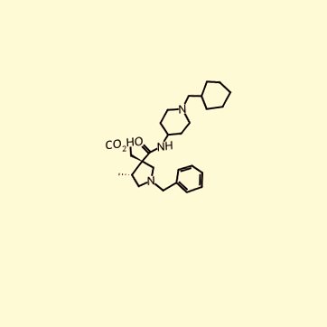 C[C@H]1CN(Cc2ccccc2)C[C@@]1(CC(=O)O)C(=O)NC1CCN(CC2CCCCC2)CC1